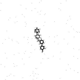 Fc1ccc(-c2cccc(CN3CCN(c4ncccn4)CC3)c2)cc1